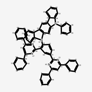 c1ccc(-c2cc(-c3ccccc3)nc(-c3ccc(-n4c5ccccc5c5cc6c7ccccc7n(-c7ccccc7)c6cc54)c(-c4nc(-c5ccccc5)cc(-c5ccccc5)n4)c3)n2)cc1